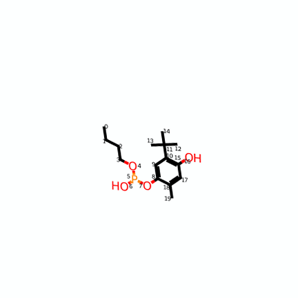 CCCCOP(O)Oc1cc(C(C)(C)C)c(O)cc1C